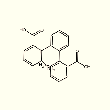 Nc1cccc(C(=O)O)c1-c1ccccc1-c1c(N)cccc1C(=O)O